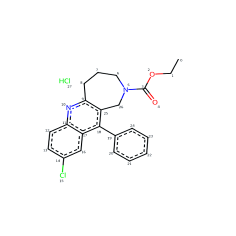 CCOC(=O)N1CCCc2nc3ccc(Cl)cc3c(-c3ccccc3)c2C1.Cl